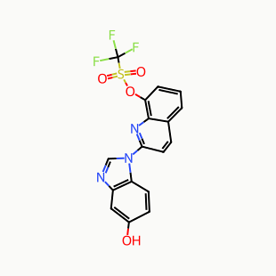 O=S(=O)(Oc1cccc2ccc(-n3cnc4cc(O)ccc43)nc12)C(F)(F)F